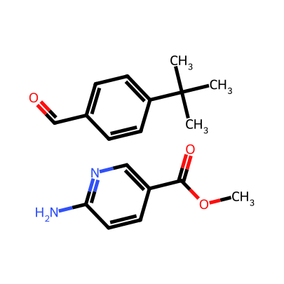 CC(C)(C)c1ccc(C=O)cc1.COC(=O)c1ccc(N)nc1